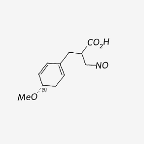 CO[C@@H]1C=CC(CC(CN=O)C(=O)O)=CC1